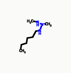 C=[N+](NC)NCCCCCC